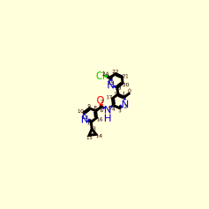 Cc1ncc(NC(=O)c2ccnc(C3CC3)c2)cc1-c1cccc(Cl)n1